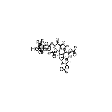 CC(=O)OC1CCC2(C)C(C1)CC(OC(C)=O)C1C3CCC(C(C)CCC(=O)OC(C(F)(F)F)C(F)(F)S(=O)(=O)O)C3C(OC(C)=O)CC12